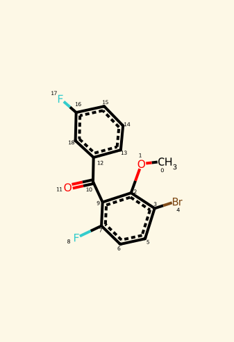 COc1c(Br)ccc(F)c1C(=O)c1cccc(F)c1